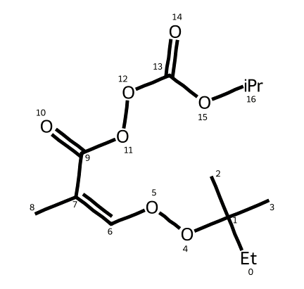 CCC(C)(C)OOC=C(C)C(=O)OOC(=O)OC(C)C